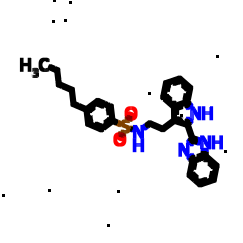 CCCCCc1ccc(S(=O)(=O)NCCc2c(-c3nc4ccccc4[nH]3)[nH]c3ccccc23)cc1